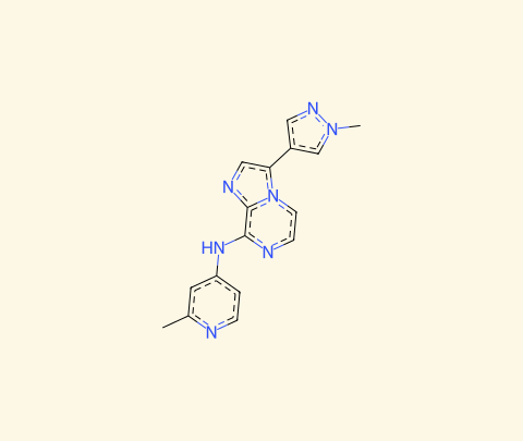 Cc1cc(Nc2nccn3c(-c4cnn(C)c4)cnc23)ccn1